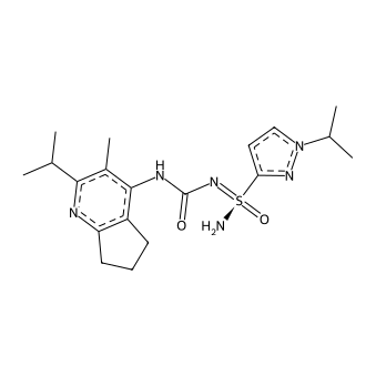 Cc1c(C(C)C)nc2c(c1NC(=O)N=[S@@](N)(=O)c1ccn(C(C)C)n1)CCC2